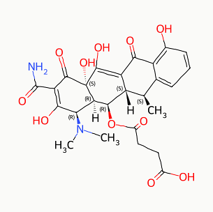 C[C@@H]1c2cccc(O)c2C(=O)C2=C(O)[C@]3(O)C(=O)C(C(N)=O)=C(O)[C@H](N(C)C)[C@@H]3[C@H](OC(=O)CCC(=O)O)[C@H]21